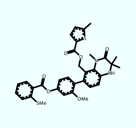 COc1cc(OC(=O)c2ccccc2SC)ccc1-c1ccc2c(c1COC(=O)c1ccc(C)s1)N(C)C(=O)C(C)(C)N2